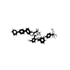 COC(=O)[C@H](Cc1ccc(-c2ccc(C3CCCCC3)cc2)cc1)NC(=O)c1cc(Cl)ccc1NCc1cccc(Oc2ccc(C(C)(C)C)cc2)c1